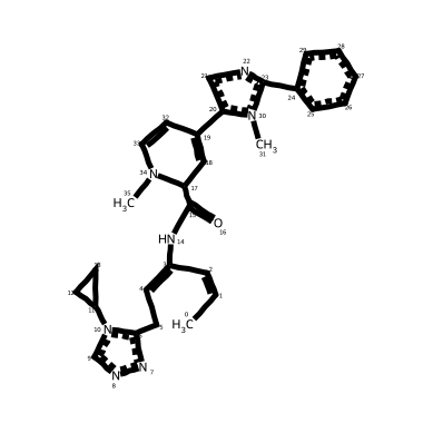 C/C=C\C(=C/Cc1nncn1C1CC1)NC(=O)C1C=C(c2cnc(-c3ccccc3)n2C)C=CN1C